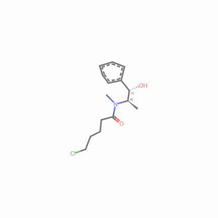 C[C@H]([C@@H](O)c1ccccc1)N(C)C(=O)CCCCCl